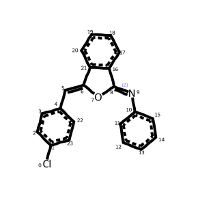 Clc1ccc(C=C2O/C(=N\c3ccccc3)c3ccccc32)cc1